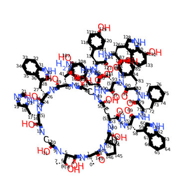 C[C@@H]1N=C(O)[C@H]([C@@H](C)O)N=C(O)CN=C(O)[C@H](Cc2cnc[nH]2)N=C(O)[C@H](Cc2c[nH]c3ccccc23)N=C(O)[C@H](CC(N)=O)N=C(O)CN=C(O)C[C@@H](C(=O)N[C@@H](Cc2c[nH]c3ccccc23)C(=O)N[C@@H](Cc2ccccc2)C(=O)N[C@@H](Cc2ccccc2)C(=O)N[C@@H](CC(N)=O)C(=O)N[C@@H](Cc2ccc(O)cc2)C(=O)N[C@@H](Cc2ccc(O)cc2)C(=O)N[C@@H](Cc2c[nH]c3c(O)cccc23)C(=O)O)N=C(O)[C@@H]2CCCN2C1=O